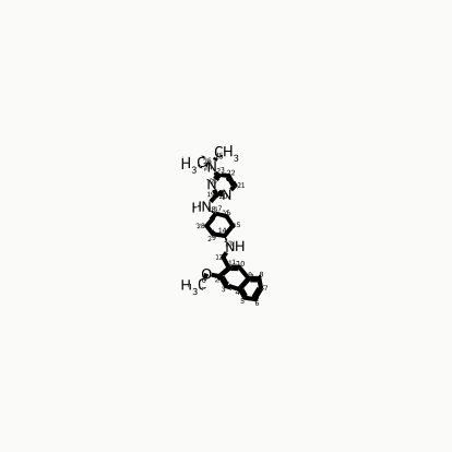 COc1cc2ccccc2cc1CN[C@H]1CC[C@@H](Nc2nccc(N(C)C)n2)CC1